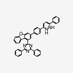 C1=C(c2ccccc2)NNC(c2ccc(-c3cc(-c4nc(-c5ccccc5)nc(-c5ccccc5)n4)c4c(c3)oc3ccccc34)cc2)=C1